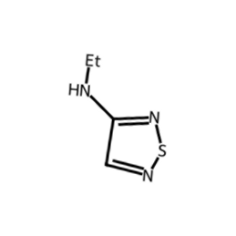 CCNc1cnsn1